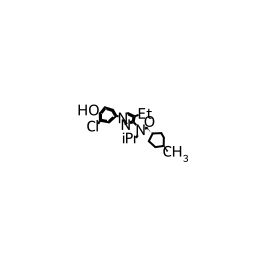 CCc1cn(-c2ccc(O)c(Cl)c2)nc1N(C(=O)[C@H]1CC[C@H](C)CC1)C(C)C